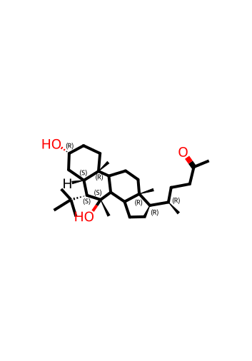 CC(=O)CC[C@@H](C)[C@H]1CCC2C3C(CC[C@@]21C)[C@@]1(C)CC[C@@H](O)C[C@H]1[C@@H](C(C)(C)C)[C@@]3(C)O